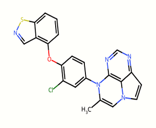 CC1=Cn2ccc3ncnc(c32)N1c1ccc(Oc2cccc3sncc23)c(Cl)c1